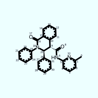 Cc1cccc(NC(=O)[C@H]2c3ccccc3C(=O)N(c3ccccc3)[C@@H]2c2ccccc2)n1